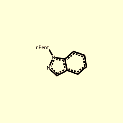 CCCCCn1n[c]c2ccccc21